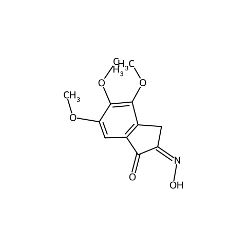 COc1cc2c(c(OC)c1OC)CC(=NO)C2=O